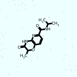 CC(C)NC(=O)c1ccc2c(n1)NC(=O)C(C)O2